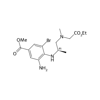 CCOC(=O)CN(C)C[C@@H](C)Nc1c(N)cc(C(=O)OC)cc1Br